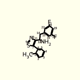 Cc1ccccc1-c1scnc1C(N)Cc1cc(F)cc(F)c1